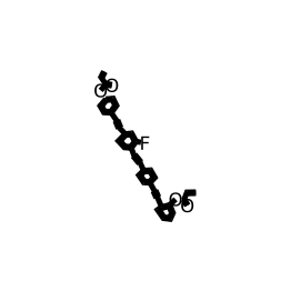 C=CC(=O)Oc1ccc(C#Cc2ccc(C#Cc3ccc(C#Cc4ccccc4OC(=O)C=C)cc3)c(F)c2)cc1